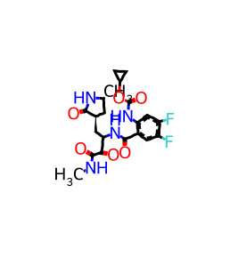 CNC(=O)C(=O)C(C[C@@H]1C[C@@H](C)NC1=O)NC(=O)c1cc(F)c(F)cc1NC(=O)OC1CC1